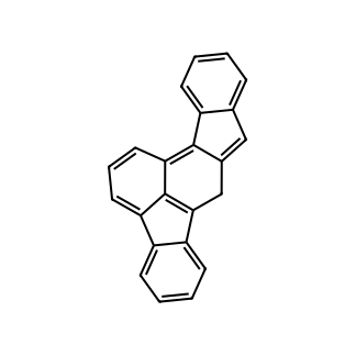 C1=C2CC3=c4c(cccc4=C2c2ccccc21)-c1ccccc13